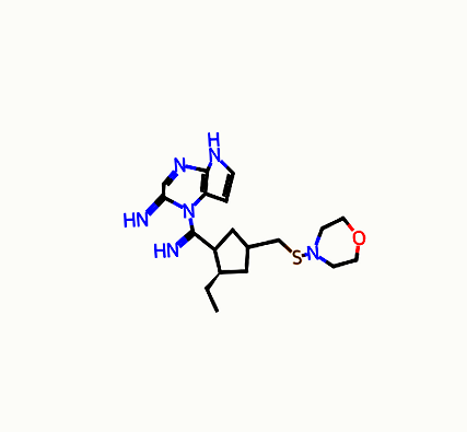 CC[C@@H]1CC(CSN2CCOCC2)CC1C(=N)n1c(=N)cnc2[nH]ccc21